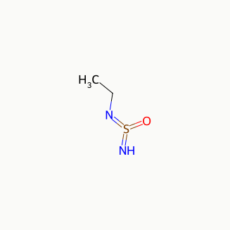 CCN=S(=N)=O